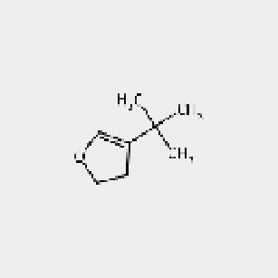 CC(C)(C)C1=COCC1